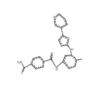 Cc1ccc(NC(=O)c2ccc(C(N)=O)cc2)cc1Nc1ncc(-c2cccnc2)o1